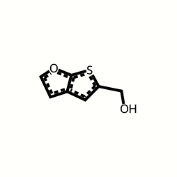 OCc1cc2ccoc2s1